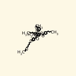 C=CCOCCCCCCOc1ccc(C(=O)Oc2ccc(OC(=O)C3CCC(CCCC)CC3)cc2C(CCCCCC)(NN)c2nc3c(OC)cccc3s2)cc1